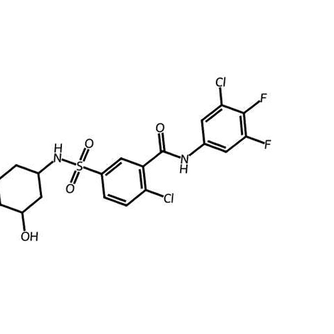 O=C(Nc1cc(F)c(F)c(Cl)c1)c1cc(S(=O)(=O)NC2CCCC(O)C2)ccc1Cl